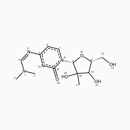 CN(C)/C=N\c1ccn([C@@H]2O[C@H](CO)C(O)C2(C)O)c(=O)n1